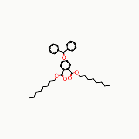 CCCCCCCCOC(=O)c1ccccc1C(=O)OCCCCCCCC.O=C(c1ccccc1)c1ccccc1